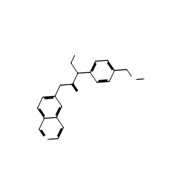 BOCc1ccc(C(CN)C(=O)Cc2ccc3cnccc3c2)cc1